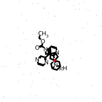 CCOC(=O)N1CC2(CC[C@@H](N3C4C[C@@H]3CN(c3ncccc3-c3cnccn3)C4)C2)C1